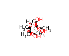 CC(O)COC(C)COC(C)CO.CC(O)COC(C)COC(C)CO